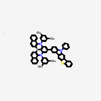 CC(C)(C)c1cc(N2c3cc(-c4ccc5c(c4)c4cc6sc7ccccc7c6cc4n5-c4ccccc4)cc4c3B(c3ccc5ccccc5c32)c2ccc3ccccc3c2N4c2cc(C(C)(C)C)cc(C(C)(C)C)c2)cc(C(C)(C)C)c1